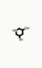 CC(C)C1CNCC(O)C1